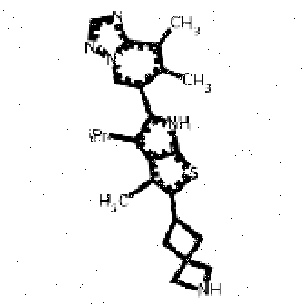 Cc1c(-c2[nH]c3sc(C4CC5(CNC5)C4)c(C)c3c2C(C)C)cn2ncnc2c1C